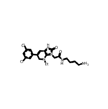 CCN1CC(c2cc(Cl)cc(Cl)c2)=Cc2[nH]c(=O)n(CC(=O)NCCCCN)c21